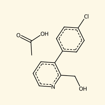 CC(=O)O.OCc1ncccc1-c1ccc(Cl)cc1